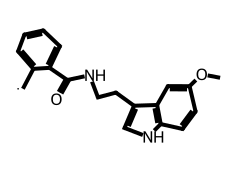 [CH2]c1ccccc1C(=O)NCCc1c[nH]c2ccc(OC)cc12